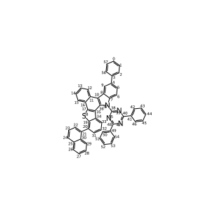 c1ccc(-c2ccc3c(c2)c2c4ccccc4c4sc5c(-c6cccc7ccccc67)cccc5c4c2n3-c2nc(-c3ccccc3)nc(-c3ccccc3)n2)cc1